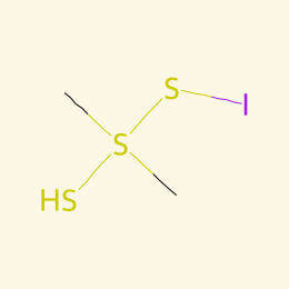 CS(C)(S)SI